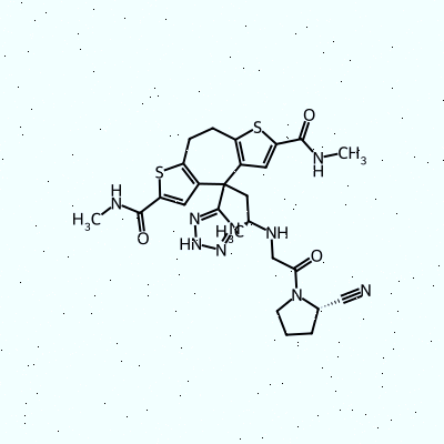 CNC(=O)c1cc2c(s1)CCc1sc(C(=O)NC)cc1C2(C[C@H](C)NCC(=O)N1CCC[C@H]1C#N)c1nn[nH]n1